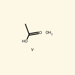 CC(=O)O.O.[V]